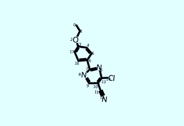 CCOc1ccc(-c2ncc(C#N)c(Cl)n2)cc1